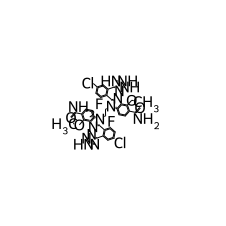 COc1c(C(N)=O)ccc2c1nc(-c1c(F)cc(Cl)cc1C1=NNNN1)n2CCn1c(-c2c(F)cc(Cl)cc2-c2nn[nH]n2)nc2c(OC)c(C(N)=O)ccc21